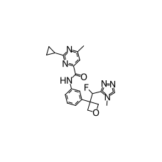 Cc1cc(C(=O)Nc2cccc(C3(C(F)c4nncn4C)COC3)c2)nc(C2CC2)n1